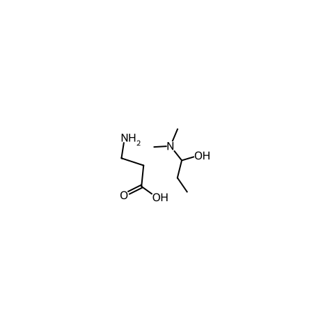 CCC(O)N(C)C.NCCC(=O)O